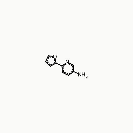 Nc1ccc(-c2ccco2)nc1